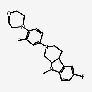 CN1c2ccc(F)cc2C2CCN(c3ccc(N4CCOCC4)c(F)c3)CC21